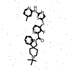 Cc1ccnc(Nc2ncc(Sc3ccnc(C(=O)NCC4(c5ccccc5)CCN(C(C)(C)C)CC4)c3F)s2)c1